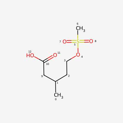 CC(CCOS(C)(=O)=O)CC(=O)O